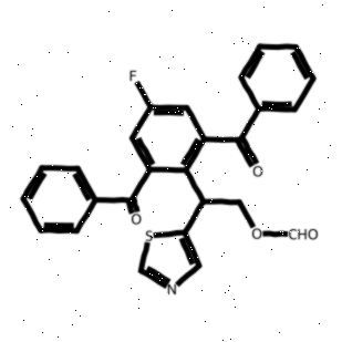 O=COCC(c1cncs1)c1c(C(=O)c2ccccc2)cc(F)cc1C(=O)c1ccccc1